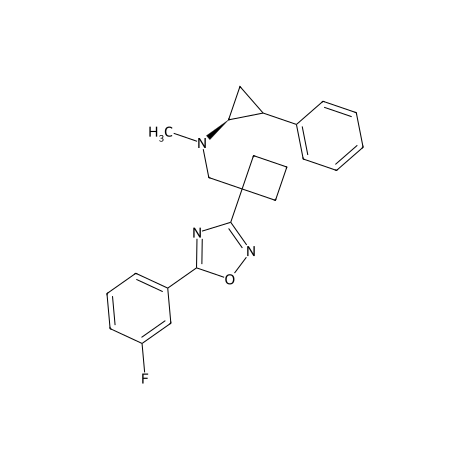 CN(CC1(c2noc(-c3cccc(F)c3)n2)CCC1)[C@H]1CC1c1ccccc1